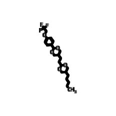 CCCCCC1COC(CCC2COC(c3ccc(OCC(F)(F)F)cc3)OC2)OC1